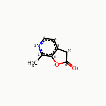 Cc1nccc2c1OC(=O)C2